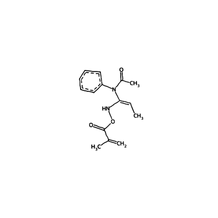 C=C(C)C(=O)ONC(=CC)N(C(C)=O)c1ccccc1